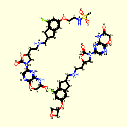 CS(=O)(=O)NCCOc1cc(F)c2c(c1)CC(CNCCC1CN(c3cnc4c(n3)NC(=O)CO4)C(=O)O1)C2.O=C1COc2ncc(N3CC(CCNCC4Cc5cc(OC6COC6)cc(F)c5C4)OC3=O)nc2N1